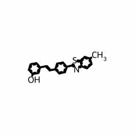 Cc1ccc2nc(-c3ccc(C=Cc4cccc(O)c4)cc3)sc2c1